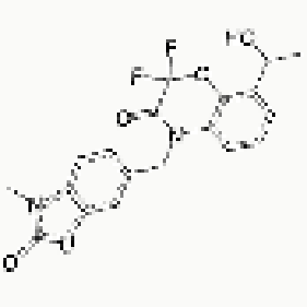 CC(O)c1cccc2c1OC(F)(F)C(=O)N2Cc1ccc2c(c1)oc(=O)n2C